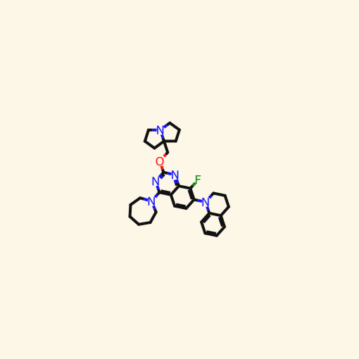 Fc1c(N2CCCc3ccccc32)ccc2c(N3CCCCCC3)nc(OCC34CCCN3CCC4)nc12